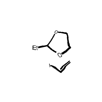 C=CI.CCC1OCCO1